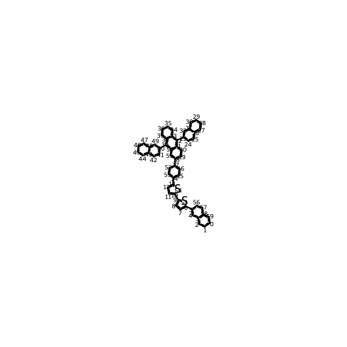 c1ccc2cc(-c3ccc(-c4ccc(-c5ccc(-c6ccc7c(-c8ccc9ccccc9c8)c8ccccc8c(-c8ccc9ccccc9c8)c7c6)cc5)s4)s3)ccc2c1